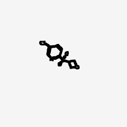 O=S(=O)(c1ccc(Cl)cn1)C1COC1